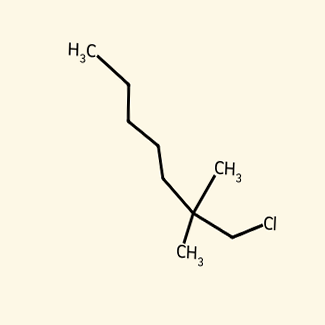 CCCCCC(C)(C)CCl